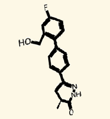 C[C@H]1CC(c2ccc(-c3ccc(F)cc3CO)cc2)=NNC1=O